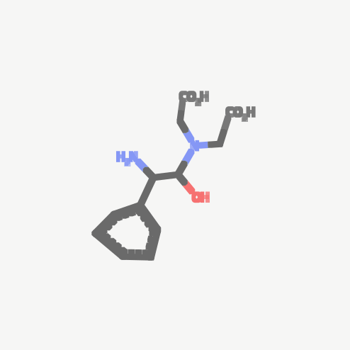 NC(c1ccccc1)C(O)N(CC(=O)O)CC(=O)O